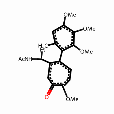 CC[C@H](NC(C)=O)c1cc(=O)c(OC)ccc1-c1c(C)cc(OC)c(OC)c1OC